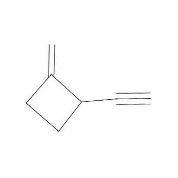 C#CC1CCC1=C